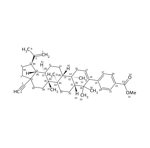 C#CC12CC[C@@H](C(=C)C)[C@@H]1[C@H]1CC[C@@H]3[C@@]4(C)CC=C(c5ccc(C(=O)OC)cc5)C(C)(C)[C@@H]4CC[C@@]3(C)[C@]1(C)CC2